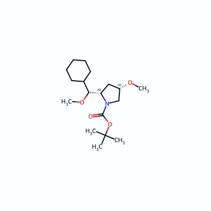 COC(C1CCCCC1)[C@@H]1C[C@H](OC)CN1C(=O)OC(C)(C)C